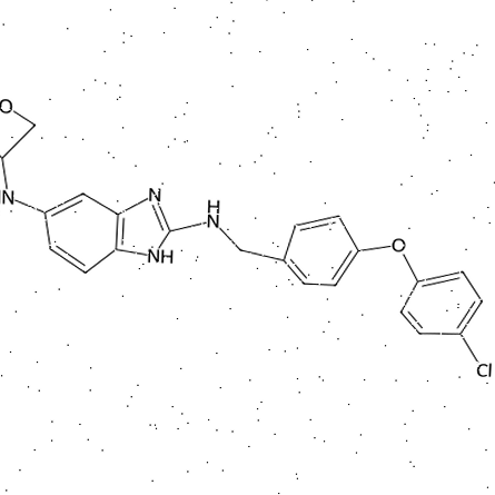 Clc1ccc(Oc2ccc(CNc3nc4cc(NC5COC5)ccc4[nH]3)cc2)cc1